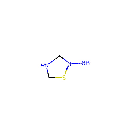 [NH]N1CNCS1